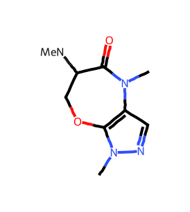 CNC1COc2c(cnn2C)N(C)C1=O